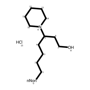 CCCCCCCCCCCCCC(CCO)N1CCCCC1.Cl